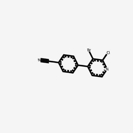 N#Cc1ccc(-c2ccnc(Cl)c2Br)cc1